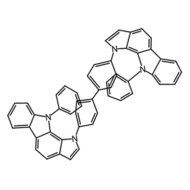 c1ccc(-n2c3ccccc3c3ccc4ccn(-c5ccc(-c6ccc(-n7ccc8ccc9c%10ccccc%10n(-c%10ccccc%10)c9c87)cc6)cc5)c4c32)cc1